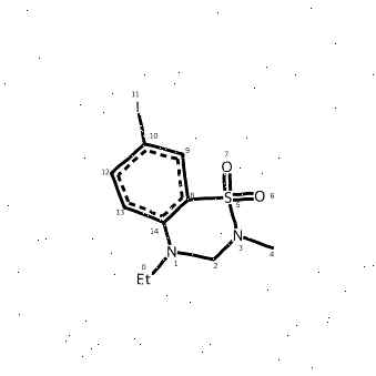 CCN1CN(C)S(=O)(=O)c2cc(I)ccc21